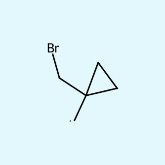 [CH2]C1(CBr)CC1